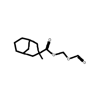 CC1(C(=O)OCOC=O)CC2CCCC(C2)C1